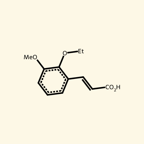 CCOc1c(C=CC(=O)O)cccc1OC